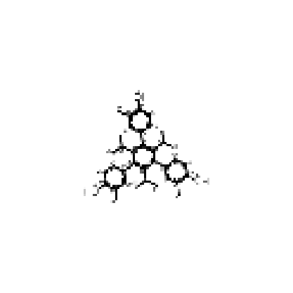 Cc1cc(-c2c(C(C)C)c(-c3ccc(O)c(C)c3)c(C(C)C)c(-c3ccc(O)c(C)c3)c2C(C)C)ccc1O